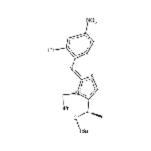 CC(C)Cn1c([C@@H](C)OC(C)(C)C)csc1=Nc1ccc([N+](=O)[O-])cc1C(C)C